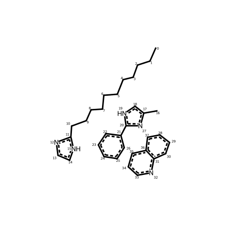 CCCCCCCCCCCc1ncc[nH]1.Cc1c[nH]c(-c2ccccc2)n1.c1ccc2ncccc2c1